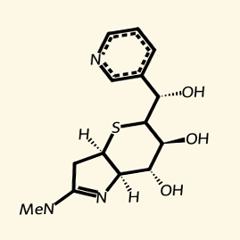 CNC1=N[C@@H]2[C@@H](O)[C@H](O)C([C@@H](O)c3cccnc3)S[C@@H]2C1